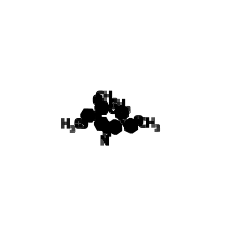 COc1cccc(N(c2cccc(OC)c2)c2ccc3c(c2)c2cc(N(c4cccc(OC)c4)c4cccc(OC)c4)ccc2n3C#N)c1